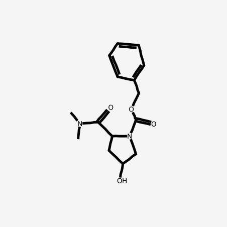 CN(C)C(=O)C1CC(O)CN1C(=O)OCc1ccccc1